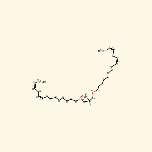 CCCCC/C=C\C/C=C\CCCCCCCCOCC(C)(COCCCCCCCC/C=C\C/C=C\CCCCC)NC